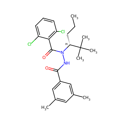 CCC[C@@H](N(NC(=O)c1cc(C)cc(C)c1)C(=O)c1c(Cl)cccc1Cl)C(C)(C)C